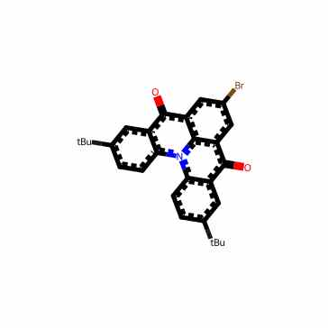 CC(C)(C)c1ccc2c(c1)c(=O)c1cc(Br)cc3c(=O)c4cc(C(C)(C)C)ccc4n2c13